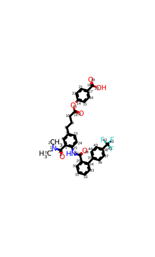 CN(C)C(=O)c1cc(CCCC(=O)Oc2ccc(C(=O)O)cc2)ccc1NC(=O)c1ccccc1-c1ccc(C(F)(F)F)cc1